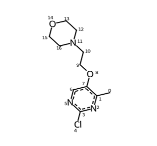 Cc1nc(Cl)ncc1OCCN1CCOCC1